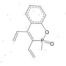 C=CC1=C(C=C)P(C)(=O)Oc2ccccc21